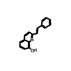 Oc1cccc2ccc(/C=C/c3ccccc3)nc12